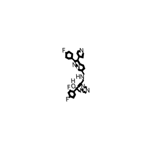 OC(C#CCNCc1ccc2c(-c3ccncc3)c(-c3ccc(F)cc3)nn2c1)(Cn1cncn1)c1ccc(F)cc1F